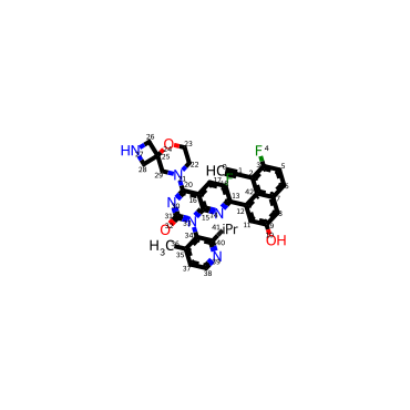 C#Cc1c(F)ccc2cc(O)cc(-c3nc4c(cc3F)c(N3CCOC5(CNC5)C3)nc(=O)n4-c3c(C)ccnc3C(C)C)c12